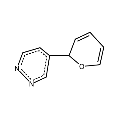 C1=COC(c2ccnnc2)C=C1